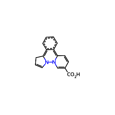 O=C(O)C1=CN2C(=c3ccccc3=C3CC=CN32)C=C1